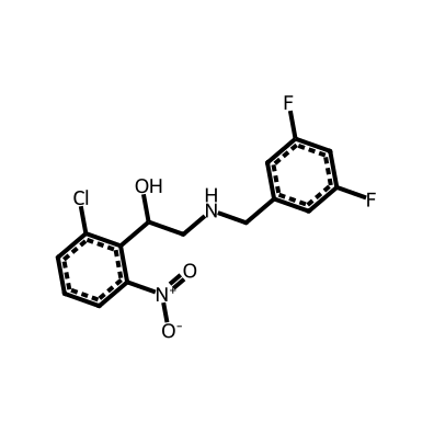 O=[N+]([O-])c1cccc(Cl)c1C(O)CNCc1cc(F)cc(F)c1